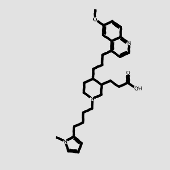 COc1ccc2nccc(CCCC3CCN(CCCCc4cccn4C)CC3CCC(=O)O)c2c1